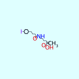 C[C@@H](CCCCNC(=O)CCCc1ccc(I)cc1)C(=O)O